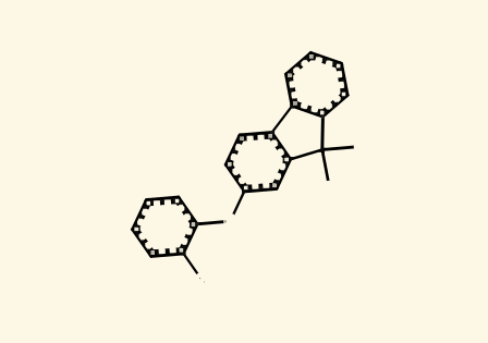 CC1(C)c2ccccc2-c2ccc(Oc3ccccc3N)cc21